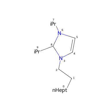 CCCCCCCCCN1C=CN(C(C)C)C1C(C)C